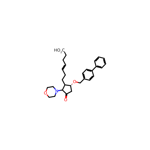 O=C(O)CCC=CCCC1C(N2CCOCC2)C(=O)C[C@H]1OCc1ccc(-c2ccccc2)cc1